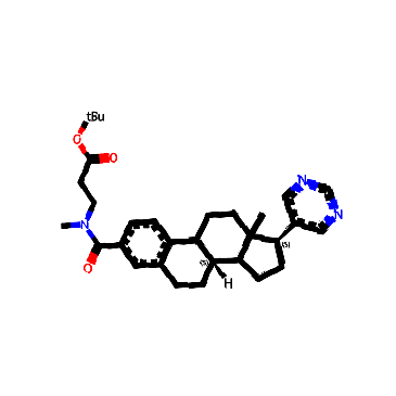 CN(CCC(=O)OC(C)(C)C)C(=O)c1ccc2c(c1)CC[C@@H]1C2CCC2(C)C1CC[C@@H]2c1cncnc1